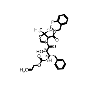 C=CCOC(=O)N[C@@H](Cc1ccccc1)[C@H](O)C(=O)N1CSC(C)(C)C1C(=O)N(F)Cc1ccccc1F